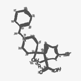 CC1(C(=O)O)CC(Br)=CC=C1C1(O)CCN(Cc2ccccc2)CC1